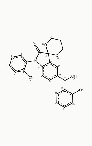 N#Cc1ccccc1N1C(=O)C2(OCCCO2)c2cc(C(O)c3ccccc3C(F)(F)F)ccc21